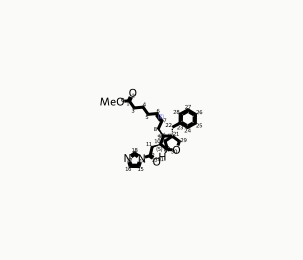 COC(=O)CCC/C=C\C[C@@H]1[C@H](CC(=O)n2ccnc2)[C@H]2C[C@]1(Cc1ccccc1)CO2